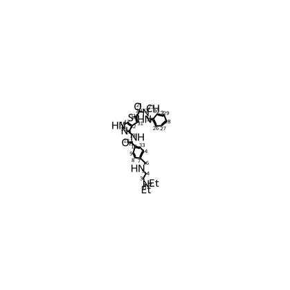 CCN(CC)CCNCc1ccc(C(=O)Nc2n[nH]c3sc(C(=O)N(C)Nc4ccccc4)cc23)cc1